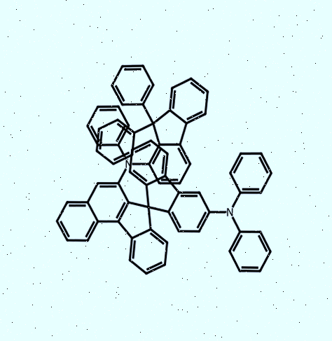 c1ccc(N(c2ccccc2)c2ccc3c(c2)-c2ccccc2C32c3ccccc3-c3c2c(N(c2ccccc2)c2cccc4c2C(c2ccccc2)(c2ccccc2)c2ccccc2-4)cc2ccccc32)cc1